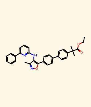 CCOC(=O)C(C)(C)c1ccc(-c2ccc(-c3onc(C)c3Nc3cccc(-c4ccccc4)n3)cc2)cc1